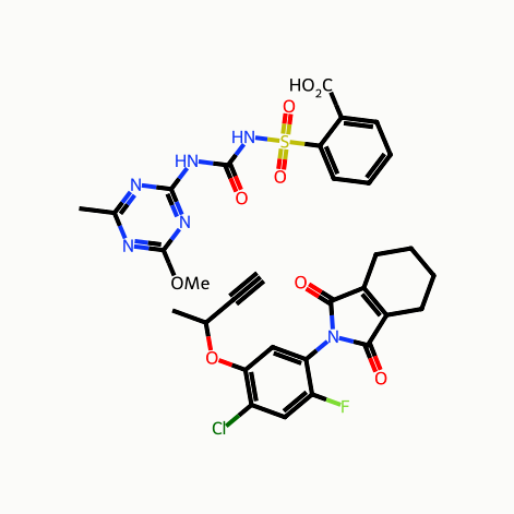 C#CC(C)Oc1cc(N2C(=O)C3=C(CCCC3)C2=O)c(F)cc1Cl.COc1nc(C)nc(NC(=O)NS(=O)(=O)c2ccccc2C(=O)O)n1